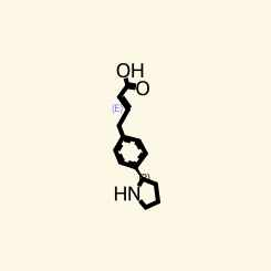 O=C(O)/C=C/Cc1ccc([C@H]2CCCN2)cc1